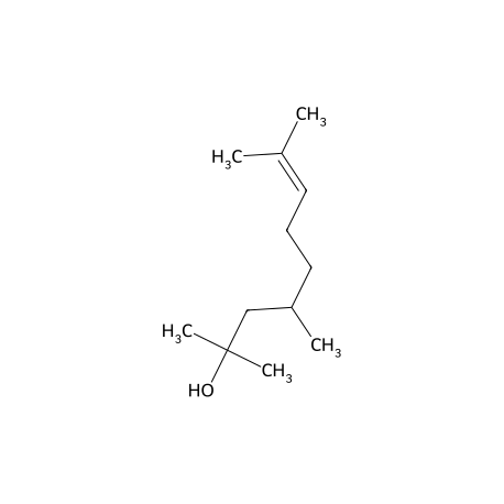 CC(C)=CCCC(C)CC(C)(C)O